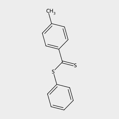 Cc1ccc(C(=S)Sc2ccccc2)cc1